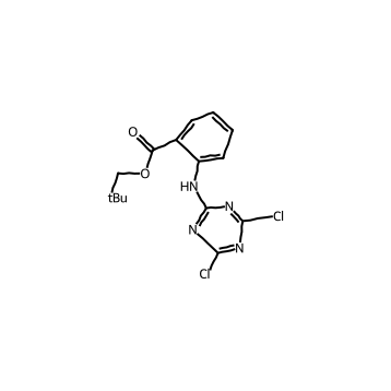 CC(C)(C)COC(=O)c1ccccc1Nc1nc(Cl)nc(Cl)n1